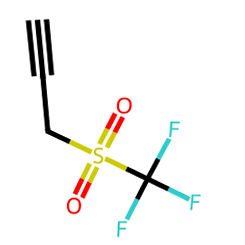 C#CCS(=O)(=O)C(F)(F)F